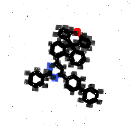 C1=CC(c2cc(-c3cccc4c3-c3ccccc3C43c4ccccc4Oc4ccccc43)nc(-c3ccccc3)n2)CC=C1c1ccccc1